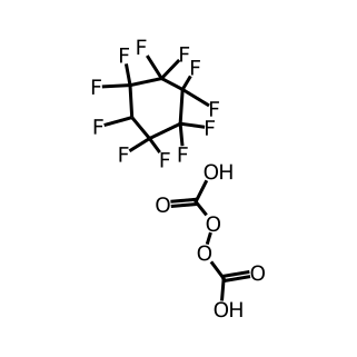 FC1C(F)(F)C(F)(F)C(F)(F)C(F)(F)C1(F)F.O=C(O)OOC(=O)O